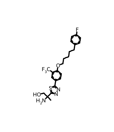 CC(N)(CO)c1nnc(-c2ccc(OCCCCCc3ccc(F)cc3)c(C(F)(F)F)c2)s1